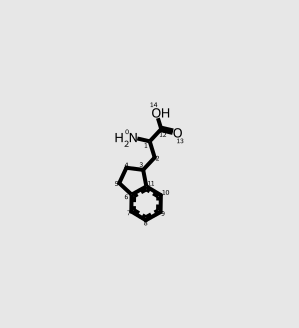 NC(CC1CCc2ccccc21)C(=O)O